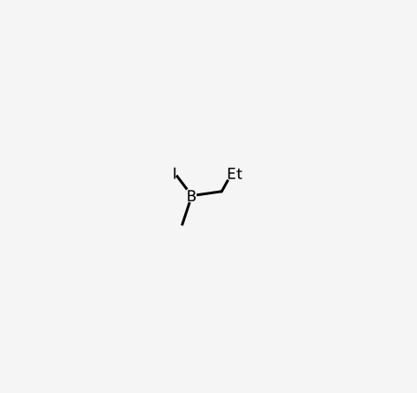 CCCB(C)I